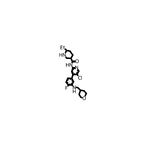 CCC1CCC(C(=O)Nc2cc(-c3ccc(F)c(NCC4CCOCC4)c3)c(Cl)cn2)CN1